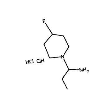 CCC(N)N1CCC(F)CC1.Cl.Cl